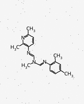 Cc1ccc(N=CN(C)C=Nc2ccc(C)nc2C)c(C)c1